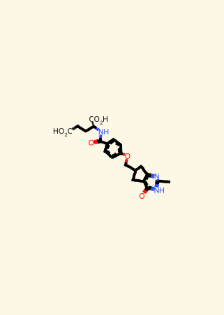 Cc1nc2c(c(=O)[nH]1)CC(COc1ccc(C(=O)N[C@@H](CCC(=O)O)C(=O)O)cc1)C2